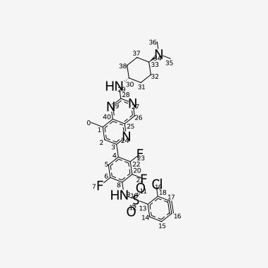 Cc1cc(-c2cc(F)c(NS(=O)(=O)c3ccc#cc3Cl)c(F)c2F)nc2cnc(N[C@H]3CC[C@H](N(C)C)CC3)nc12